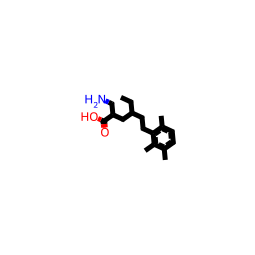 CCC(CCc1c(C)ccc(C)c1C)CC(CN)C(=O)O